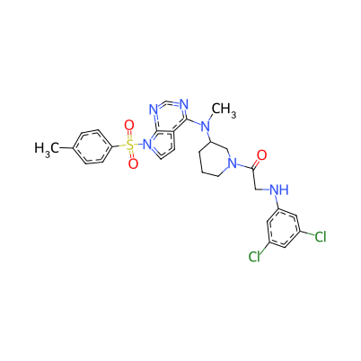 Cc1ccc(S(=O)(=O)n2ccc3c(N(C)C4CCCN(C(=O)CNc5cc(Cl)cc(Cl)c5)C4)ncnc32)cc1